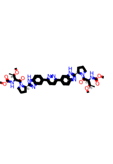 COC(=O)N[C@H](C(=O)N1CCC[C@H]1c1nc2cc(-c3ccc(-c4ccc5nc([C@@H]6CCCN6C(=O)[C@@H](NC(=O)OC)[C@@H](C)OC)[nH]c5c4)nn3)ccc2[nH]1)[C@@H](C)OC